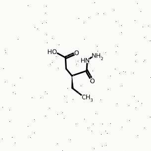 CC[C@@H](CC(=O)O)C(=O)NN